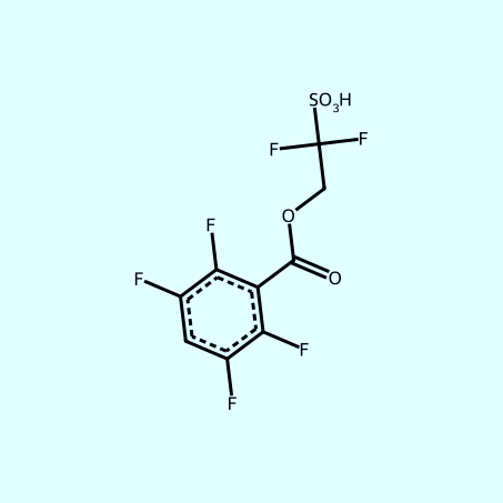 O=C(OCC(F)(F)S(=O)(=O)O)c1c(F)c(F)cc(F)c1F